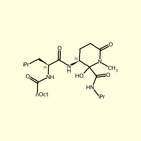 CCCCCCCCC(=O)N[C@@H](CC(C)C)C(=O)N[C@H]1CCC(=O)N(C)C1(O)C(=O)NC(C)C